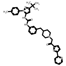 Cc1ccc(-n2nc(C(C)(C)C)cc2NC(=O)Nc2cccc(CC3CCN(CC(=O)c4ccc(-c5ccccn5)s4)CC3)c2)cc1